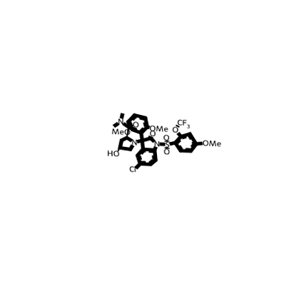 COc1ccc(S(=O)(=O)N2C(=O)C(c3c(OC)cccc3OC)(N3C[C@H](O)C[C@H]3C(=O)N(C)C)c3cc(Cl)ccc32)c(OC(F)(F)F)c1